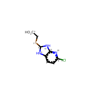 O=C(O)CSC1Nc2ccc(Cl)nc2N1